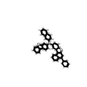 C1=CCCC(c2cc3c(c4ccccc24)C2C=C(N(c4ccc5ccccc5c4)c4ccc5c(c4)oc4ccccc45)C=CC2O3)=C1